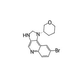 Brc1ccc2ncc3c(c2c1)N([C@H]1CCCOC1)CN3